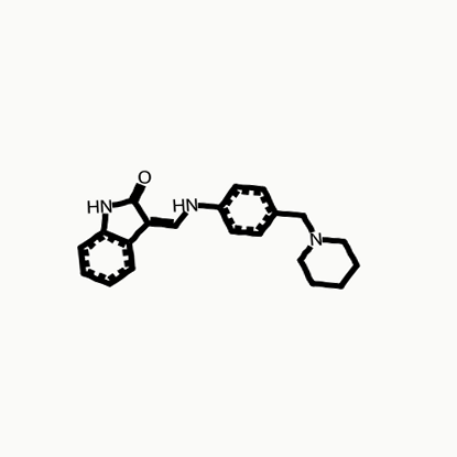 O=C1Nc2ccccc2C1=CNc1ccc(CN2CCCCC2)cc1